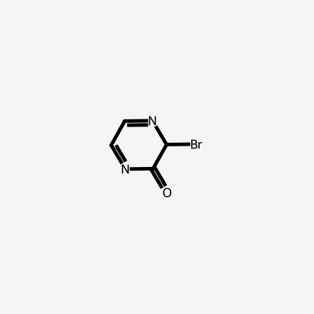 O=C1N=CC=NC1Br